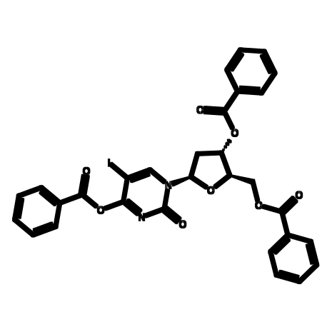 O=C(OC[C@H]1O[C@@H](n2cc(I)c(OC(=O)c3ccccc3)nc2=O)C[C@@H]1OC(=O)c1ccccc1)c1ccccc1